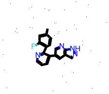 Cc1ccc(-c2ncccc2-c2cnc3[nH]ncc3c2)c(F)c1